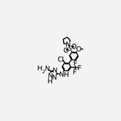 COc1ccc(-c2c(Cl)cc(Nc3n[nH]c(N)n3)cc2C(F)(F)F)cc1S(=O)(=O)N1CCCC1